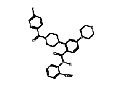 CCN(C(=O)c1ccc(N2CCOCC2)cc1N1CCC(C(=O)c2ccc(F)cc2)CC1)c1ccccc1OC